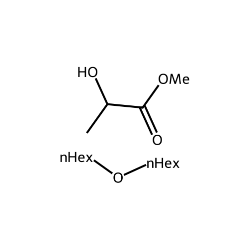 CCCCCCOCCCCCC.COC(=O)C(C)O